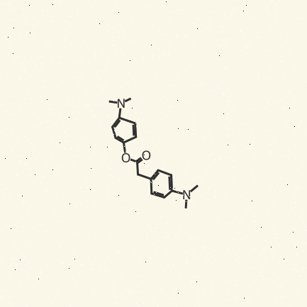 CN(C)c1ccc(CC(=O)Oc2ccc(N(C)C)cc2)cc1